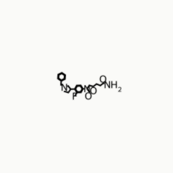 NC(=O)CCC1CN(c2ccc(C3CCN(Cc4ccccc4)C3)c(F)c2)C(=O)O1